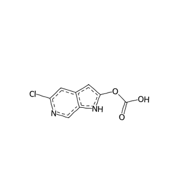 O=C(O)Oc1cc2cc(Cl)ncc2[nH]1